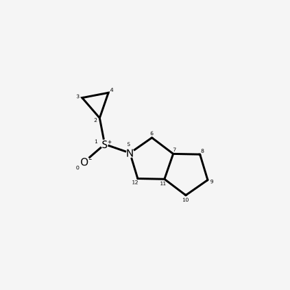 [O-][S+](C1CC1)N1CC2CCCC2C1